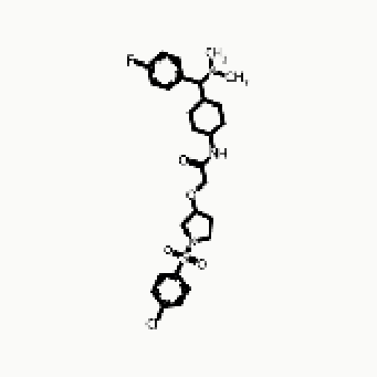 CN(C)C(c1ccc(F)cc1)C1CCC(NC(=O)COC2CCN(S(=O)(=O)c3ccc(Cl)cc3)C2)CC1